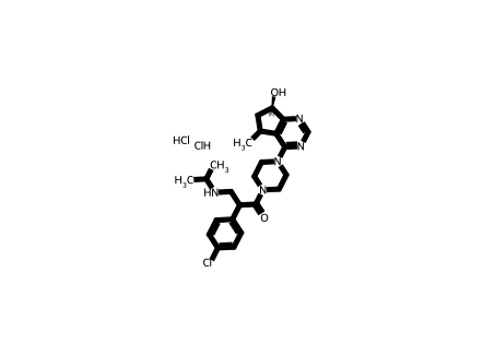 CC(C)NCC(C(=O)N1CCN(c2ncnc3c2C(C)C[C@H]3O)CC1)c1ccc(Cl)cc1.Cl.Cl